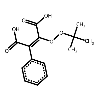 CC(C)(C)OOC(C(=O)O)=C(C(=O)O)c1ccccc1